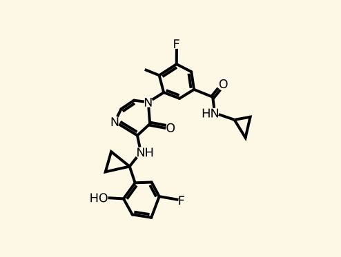 Cc1c(F)cc(C(=O)NC2CC2)cc1-n1ccnc(NC2(c3cc(F)ccc3O)CC2)c1=O